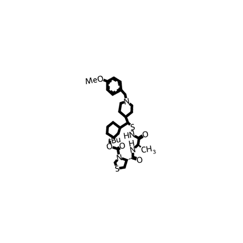 COc1ccc(CN2CCC(C(SNC(=O)[C@@H](C)NC(=O)[C@@H]3CSCN3C(=O)OC(C)(C)C)C3CCCCC3)CC2)cc1